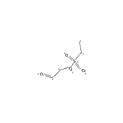 CCS(=O)(=O)OC[C]=O